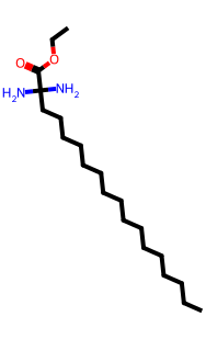 CCCCCCCCCCCCCCCCC(N)(N)C(=O)OCC